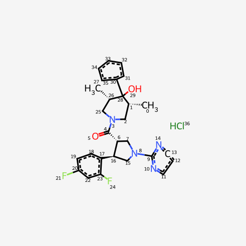 C[C@@H]1CN(C(=O)[C@@H]2CN(c3ncccn3)C[C@H]2c2ccc(F)cc2F)C[C@H](C)C1(O)c1ccccc1.Cl